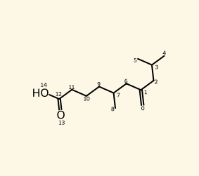 C=C(CC(C)C)CC(C)CCCC(=O)O